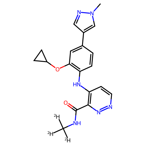 [2H]C([2H])([2H])NC(=O)c1nnccc1Nc1ccc(-c2cnn(C)c2)cc1OC1CC1